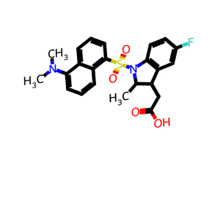 CC1C(CC(=O)O)c2cc(F)ccc2N1S(=O)(=O)c1cccc2c(N(C)C)cccc12